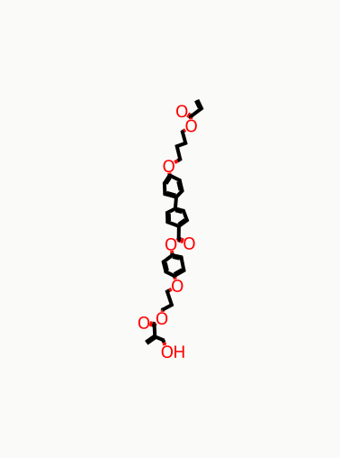 C=CC(=O)OCCCCOc1ccc(-c2ccc(C(=O)Oc3ccc(OCCCOC(=O)C(=C)CO)cc3)cc2)cc1